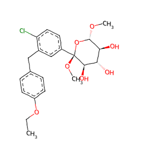 CCOc1ccc(Cc2cc([C@]3(OC)O[C@H](OC)[C@@H](O)[C@H](O)[C@H]3O)ccc2Cl)cc1